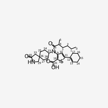 CCCCC(C)C(=O)N(c1cc(C2=CCCCC2)sc1C(=O)O)C1CCC2(CC1)CNC(=O)C2